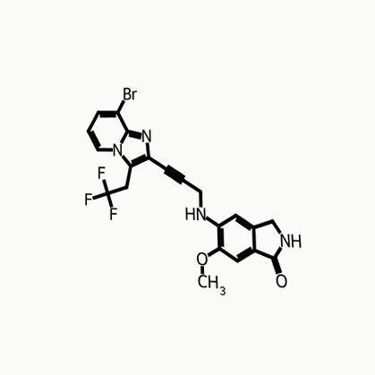 COc1cc2c(cc1NCC#Cc1nc3c(Br)cccn3c1CC(F)(F)F)CNC2=O